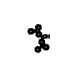 OB(c1ccc2c(c1)c1ccccc1n2-c1ccccc1)c1ccc2c(c1)c1ccccc1n2-c1ccccc1